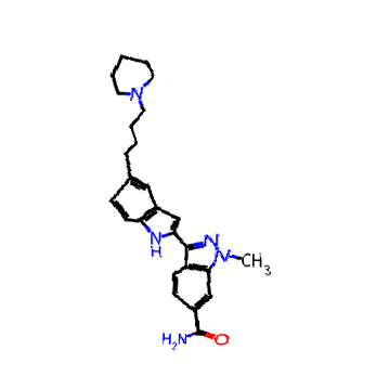 Cn1nc(-c2cc3cc(CCCCN4CCCCC4)ccc3[nH]2)c2ccc(C(N)=O)cc21